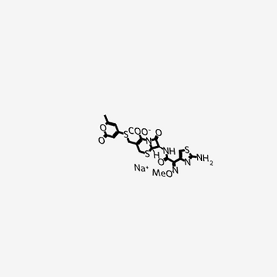 CO/N=C(\C(=O)N[C@@H]1C(=O)N2C(C(=O)[O-])=C(CSc3cc(C)oc(=O)c3)CS[C@H]12)c1csc(N)n1.[Na+]